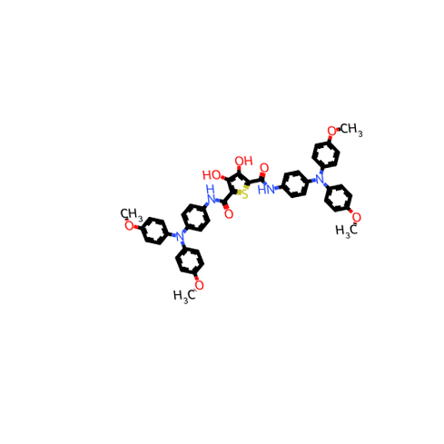 COc1ccc(N(c2ccc(NC(=O)c3sc(C(=O)Nc4ccc(N(c5ccc(OC)cc5)c5ccc(OC)cc5)cc4)c(O)c3O)cc2)c2ccc(OC)cc2)cc1